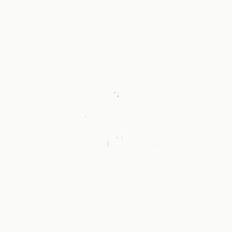 Cn1cc(-c2ccccc2)c(=O)c(-c2ccccc2Cl)c1